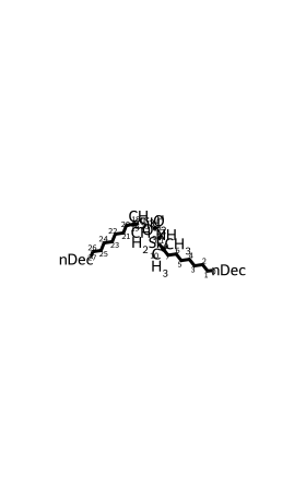 CCCCCCCCCCCCCCCCCC(C)(C)[SiH2]NC(=O)O[SiH2]C(C)(C)CCCCCCCCCCCCCCCCC